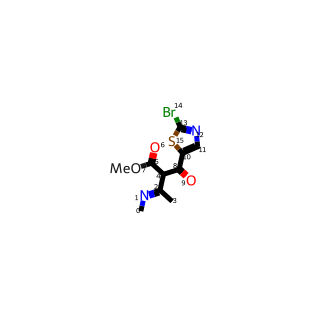 C/N=C(\C)C(C(=O)OC)C(=O)c1cnc(Br)s1